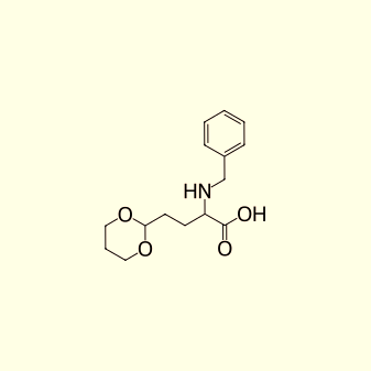 O=C(O)C(CCC1OCCCO1)NCc1ccccc1